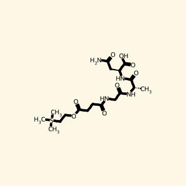 C[C@H](NC(=O)CNC(=O)CCC(=O)OCCS(C)(C)C)C(=O)N[C@@H](CC(N)=O)C(=O)O